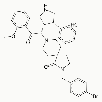 COc1ccccc1C(=O)C([C@@H]1CNC[C@@H]1c1ccccc1)N1CCC2(CCN(Cc3ccc(Br)cc3)C2=O)CC1.Cl